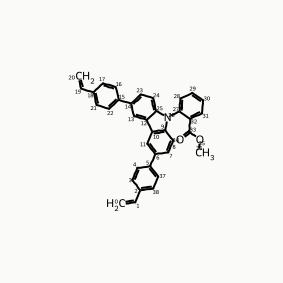 C=Cc1ccc(-c2ccc3c(c2)c2cc(-c4ccc(C=C)cc4)ccc2n3-c2ccccc2C(=O)OC)cc1